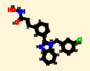 O=C(/C=C/c1cccc(-c2nc3ccccc3n2Cc2cccc(Cl)c2)c1)NO